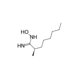 CCCCCC[C@@H](C)C(=N)NO